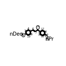 CCCCCCCCCCOc1ccc(C=CC(=O)c2ccc(SCCC)cc2)cc1